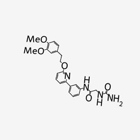 COc1ccc(CCOc2cccc(-c3cccc(NC(=O)CNC(N)=O)c3)n2)cc1OC